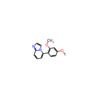 COc1cc(OI)ccc1-c1cccc2nccn12